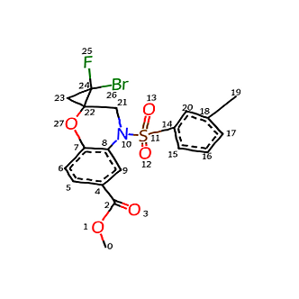 COC(=O)c1ccc2c(c1)N(S(=O)(=O)c1cccc(C)c1)CC1(CC1(F)Br)O2